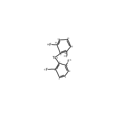 Fc1cccc(F)[c]1[Ti][c]1c(F)cccc1F